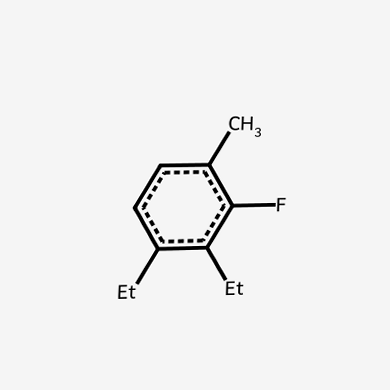 CCc1ccc(C)c(F)c1CC